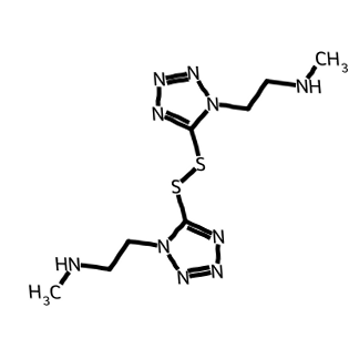 CNCCn1nnnc1SSc1nnnn1CCNC